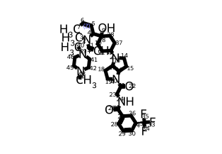 C=C(N(C)C(/C=C\C)C1(O)CCC(N2CCC3C2CCN3C(=O)CNC(=O)C2=CC=C[C@H](C(F)(F)F)C2)CC1)[N+]1(C)CCN(C)CC1